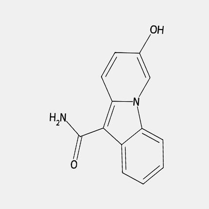 NC(=O)c1c2ccccc2n2cc(O)ccc12